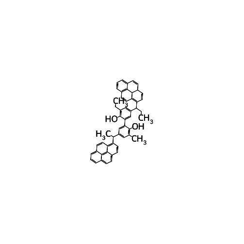 CCc1cc(C(CC)C2=C3C=Cc4cccc5c4C3C(C=C2)C=C5)cc(-c2cc(C(C)c3ccc4ccc5cccc6ccc3c4c56)cc(C)c2O)c1O